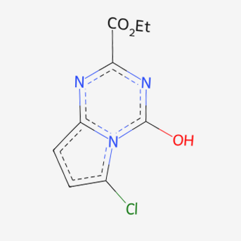 CCOC(=O)c1nc(O)n2c(Cl)ccc2n1